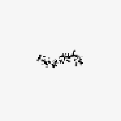 O=C(N[C@@H]1CC[C@@H](c2nnc([C@H]3C[C@@H](OC(F)(F)F)C3)o2)OC1)C1CC1COC(F)(F)F